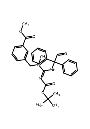 COC(=O)c1cccc(CN(C)C(=NC(=O)OC(C)(C)C)NC(C=O)(c2ccccc2)c2ccccc2)c1